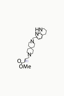 COC(=O)/C=C/CN1CCC2(CC1)CCN(Cc1ccc3c(n1)NCCC3)CC2